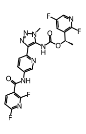 C[C@@H](OC(=O)Nc1c(-c2ccc(NC(=O)c3ccc(F)nc3F)cn2)nnn1C)c1cc(F)cnc1F